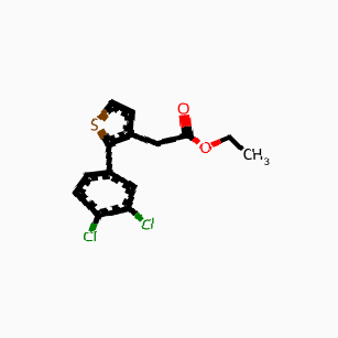 CCOC(=O)Cc1ccsc1-c1ccc(Cl)c(Cl)c1